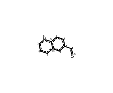 S=Cc1ccc2ncccc2c1